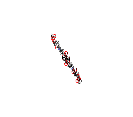 C=CC(=O)OCOc1ccc(CC(=O)/C=C/c2ccc(C(=O)O[C@@H]3CO[C@H]4[C@@H]3OC[C@@H]4OC(=O)c3ccc(/C=C/C(=O)Oc4ccc(OCOC(=O)C=C)cc4)cc3)cc2)cc1